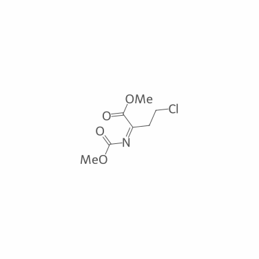 COC(=O)N=C(CCCl)C(=O)OC